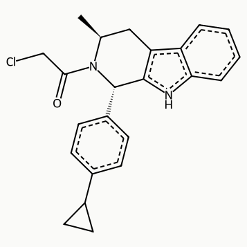 C[C@H]1Cc2c([nH]c3ccccc23)[C@H](c2ccc(C3CC3)cc2)N1C(=O)CCl